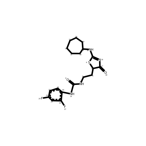 O=C(NCCC1SC(NC2CCCCCC2)=NC1=O)Nc1ccc(F)cc1F